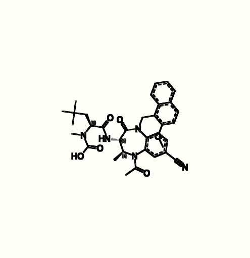 COc1ccc2ccccc2c1CN1C(=O)[C@@H](NC(=O)[C@H](CC(C)(C)C)N(C)C(=O)O)[C@H](C)N(C(C)=O)c2cc(C#N)ccc21